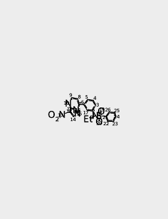 CCN(c1cccc(-c2ccnc3c([N+](=O)[O-])cnn23)c1)S(=O)(=O)c1ccccc1